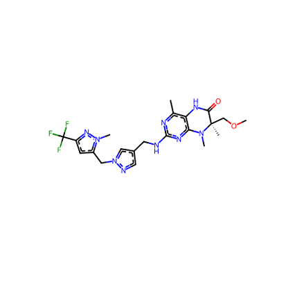 COC[C@]1(C)C(=O)Nc2c(C)nc(NCc3cnn(Cc4cc(C(F)(F)F)nn4C)c3)nc2N1C